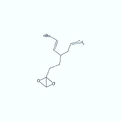 C=CCC(C=CCCCC)CCC12OC1O2